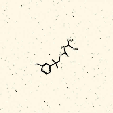 CC(C)(COC(=O)NC(C(=O)O)C(C)(C)C)c1cccc(Cl)c1